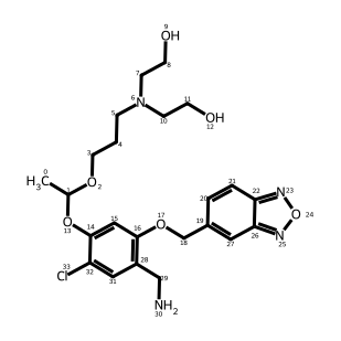 CC(OCCCN(CCO)CCO)Oc1cc(OCc2ccc3nonc3c2)c(CN)cc1Cl